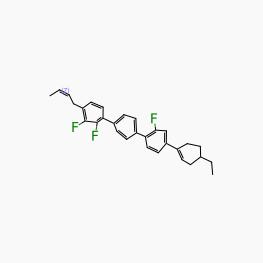 C/C=C\Cc1ccc(-c2ccc(-c3ccc(C4=CCC(CC)CC4)cc3F)cc2)c(F)c1F